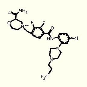 C[N+]1(Cc2ccc(C(=O)Nc3ccc(Cl)cc3N3CCN(CCC(F)(F)F)CC3)c(F)c2F)CCOC(C(N)=O)C1